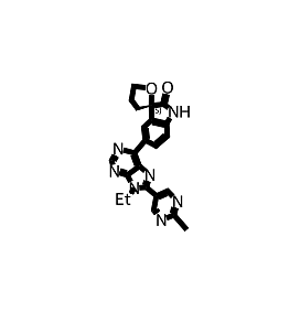 CCn1c(-c2cnc(C)nc2)nc2c(-c3ccc4c(c3)[C@@]3(CCCO3)C(=O)N4)ncnc21